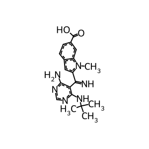 Cn1c(C(=N)c2c(N)ncnc2NC(C)(C)C)cc2ccc(C(=O)O)cc21